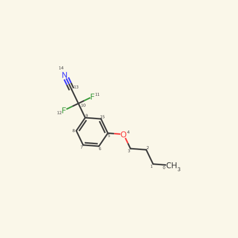 CCCCOc1cccc(C(F)(F)C#N)c1